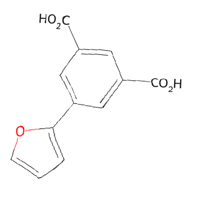 O=C(O)c1cc(C(=O)O)cc(-c2ccco2)c1